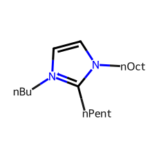 CCCCCCCCn1cc[n+](CCCC)c1CCCCC